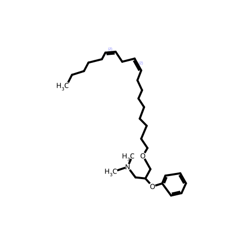 CCCCC/C=C\C/C=C\CCCCCCCCOCC(CN(C)C)Oc1ccccc1